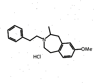 COc1ccc2c(c1)CC(C)N(CCc1ccccc1)CC2.Cl